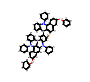 c1ccc(Oc2ccc3c4c5c(cc3c2)Sc2cc3c(cc2B5c2ccccc2N4c2ccccc2)B2c4ccccc4N(c4ccccc4)c4c2c(cc2cc(Oc5ccccc5)ccc42)N3c2ccccc2)cc1